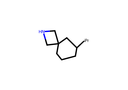 CC(C)C1CCCC2(CNC2)C1